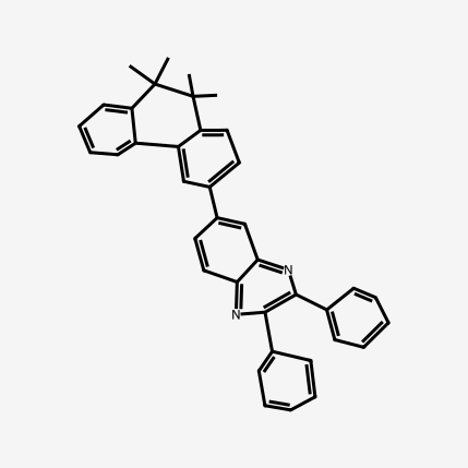 CC1(C)c2ccccc2-c2cc(-c3ccc4nc(-c5ccccc5)c(-c5ccccc5)nc4c3)ccc2C1(C)C